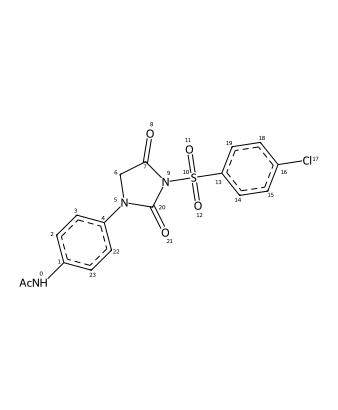 CC(=O)Nc1ccc(N2CC(=O)N(S(=O)(=O)c3ccc(Cl)cc3)C2=O)cc1